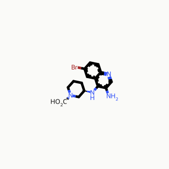 Nc1cnc2ccc(Br)cc2c1N[C@@H]1CCCN(C(=O)O)C1